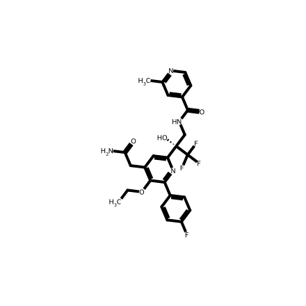 CCOc1c(CC(N)=O)cc([C@@](O)(CNC(=O)c2ccnc(C)c2)C(F)(F)F)nc1-c1ccc(F)cc1